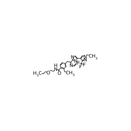 CCCOCCNC(=O)c1ccc(Cc2nccn3c(-c4cn(CC)nc4C(F)(F)F)cnc23)cc1CC